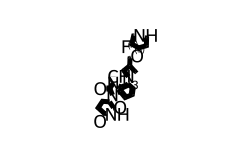 Cn1c(=O)n(C2CCC(=O)NC2=O)c2cccc(N3CC(CO[C@H]4CCNC[C@H]4F)C3)c21